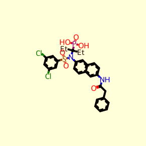 CCC(CC)(N(c1ccc2cc(NC(=O)Cc3ccccc3)ccc2c1)S(=O)(=O)c1cc(Cl)cc(Cl)c1)P(=O)(O)O